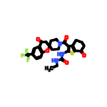 CCNC(=O)Nc1sc2c(c1C(=O)N1CCC3(CC1)CC(=O)c1cc(C(F)(F)F)ccc1O3)CCCC2=O